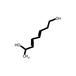 CC(O)C=CC=CCCO